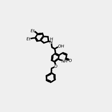 CCc1cc2c(cc1CC)CC(NCC(O)c1ccc(OCc3ccccc3)c3[nH]c(=O)ccc13)C2